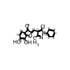 Cc1nn(-c2ccccc2)c(Cl)c1C=C1Oc2c(ccc(O)c2O)C1=O